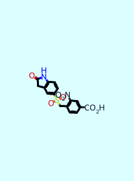 O=C1Cc2cc(S(=O)(=O)Cc3ccc(C(=O)O)cc3[N+](=O)[O-])ccc2N1